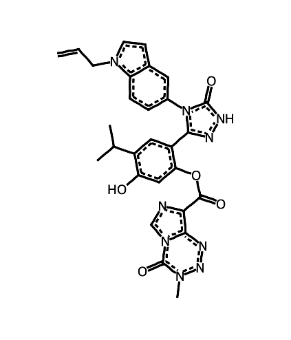 C=CCn1ccc2cc(-n3c(-c4cc(C(C)C)c(O)cc4OC(=O)c4ncn5c(=O)n(C)nnc45)n[nH]c3=O)ccc21